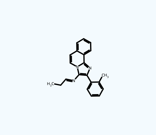 CCC=Nc1c(-c2ccccc2C)nc2c3ccccc3ccn12